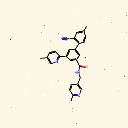 Cc1ccc(-c2cc(C(=O)NCc3ccc(C)nc3)cc(-c3ccc(C)cc3C#N)c2)nc1